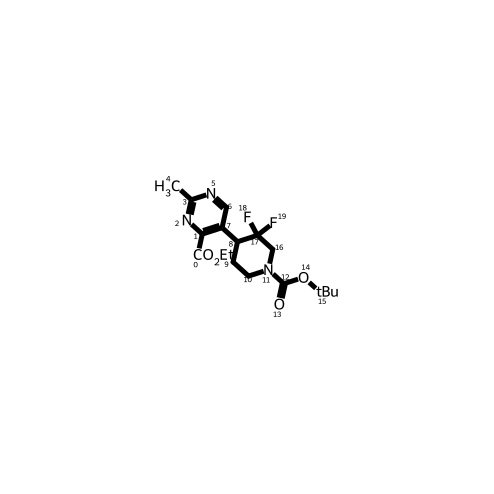 CCOC(=O)c1nc(C)ncc1C1CCN(C(=O)OC(C)(C)C)CC1(F)F